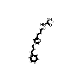 NC(=O)NOCCCc1cn(CCCc2ccccc2)cn1